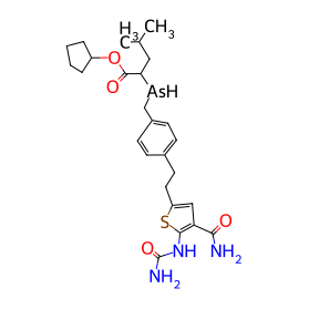 CC(C)CC([AsH]Cc1ccc(CCc2cc(C(N)=O)c(NC(N)=O)s2)cc1)C(=O)OC1CCCC1